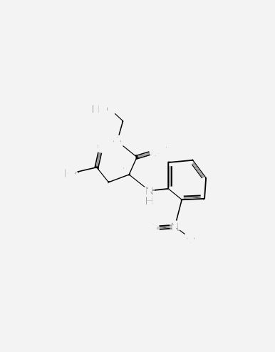 CCOC(=O)C(CC(=O)O)Nc1ccccc1[N+](=O)[O-]